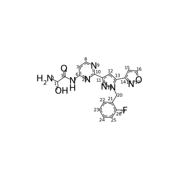 NC(O)C(=O)Nc1ccnc(-c2cc(-c3ccon3)n(Cc3ccccc3F)n2)n1